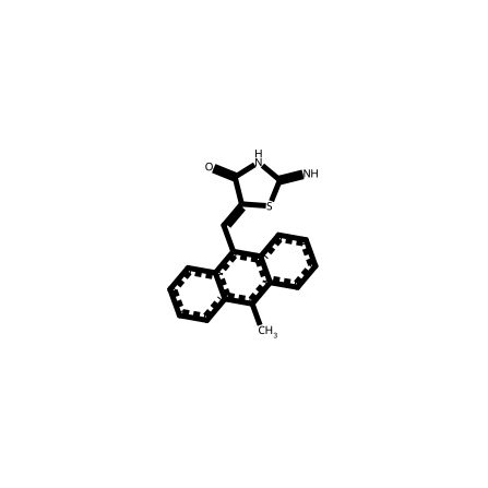 Cc1c2ccccc2c(C=C2SC(=N)NC2=O)c2ccccc12